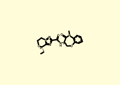 CC[C@@H]1OCCn2nc(C(=O)N[C@H]3COc4ccccc4N(C)C3=O)nc21